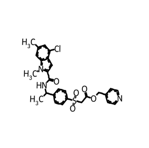 Cc1cc(Cl)c2cc(C(=O)NC(C)c3ccc(S(=O)(=O)CC(=O)OCc4ccncc4)cc3)n(C)c2c1